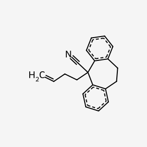 C=CCCC1(C#N)c2ccccc2CCc2ccccc21